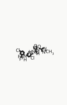 Cc1ncc(C(=O)N[C@@]2(C(=O)NCc3ncc(Nc4ccc(Cl)cc4C(F)(F)F)cc3Cl)CCOC2)cn1